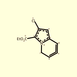 CCOC(=O)c1c(Cl)cc2n1CC=C=C2